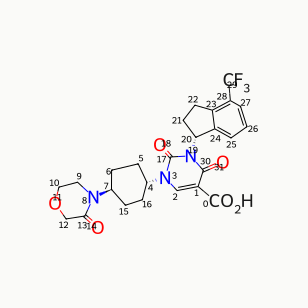 O=C(O)c1cn([C@H]2CC[C@H](N3CCOCC3=O)CC2)c(=O)n([C@@H]2CCc3c2cccc3C(F)(F)F)c1=O